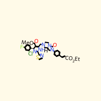 CCOC(=O)/C=C/c1ccc(N2C[C@@H]3CN(CC4=C(C(=O)OC)[C@H](c5ccc(F)cc5Cl)N=C(c5nccs5)N4)CCN3C2=O)cc1